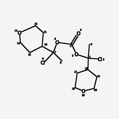 CC(Cl)(OC(=O)OC(C)(Cl)C1CCOCC1)C1CCOCC1